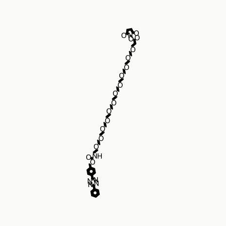 O=C(CCOCCOCCOCCOCCOCCOCCOCCOCCOCCOCCOCCOCCNC(=O)OCc1ccc(-c2nnc(-c3ccccc3)nn2)cc1)ON1C(=O)CCC1=O